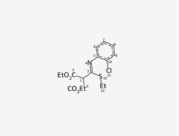 CCOC(=O)C(C(=O)OCC)/C(=N/c1ccccc1Cl)SCC